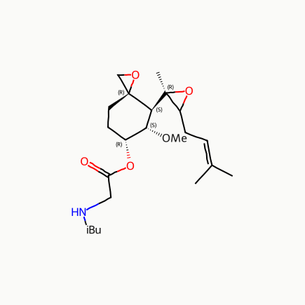 CCC(C)NCC(=O)O[C@@H]1CC[C@]2(CO2)[C@@H]([C@@]2(C)OC2CC=C(C)C)[C@@H]1OC